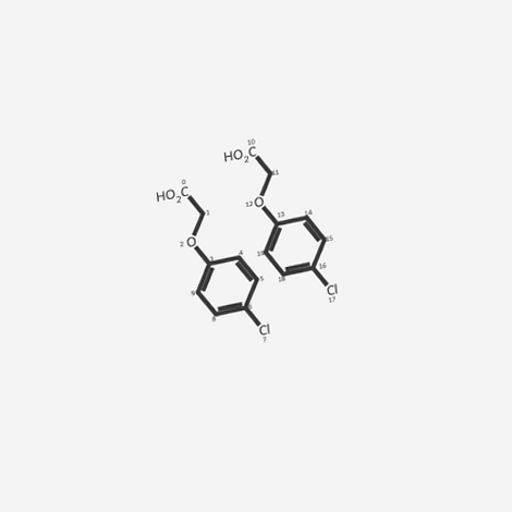 O=C(O)COc1ccc(Cl)cc1.O=C(O)COc1ccc(Cl)cc1